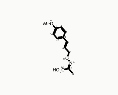 COc1ccc(/C=C/CO/N=C(/C)C(=O)O)cc1